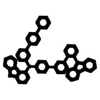 c1ccc(-c2ccc(-c3cccc(N(c4ccc(-c5cccc(-c6ccccc6-n6c7ccccc7c7ccccc76)c5)cc4)c4cccc5oc6ccccc6c45)c3)cc2)cc1